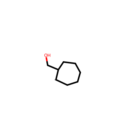 OCC1[CH]CCCCC1